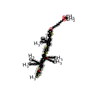 C=C(C)C(=O)OCCCCCCCCCCCCOc1ccc2c(c1)sc1cc(-c3ccc4c(c3)C(CCCCC)(CCCCC)c3cc(-c5cc6cc7sc(-c8ccc9c(c8)C(CCCCCCCC)(CCCCCCCC)c8cc%10cc%11c(cc%10cc8-9)C(CCCCCCCC)(CCCCCCCC)c8cc(-c9cc%10cc%12sc(C)cc%12cc%10s9)ccc8-%11)cc7cc6s5)ccc3-4)ccc12